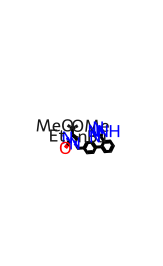 CCCCc1c(C(OC)OC)n(CC)c(=O)n1Cc1ccc(-c2ccccc2-c2nnn[nH]2)cc1